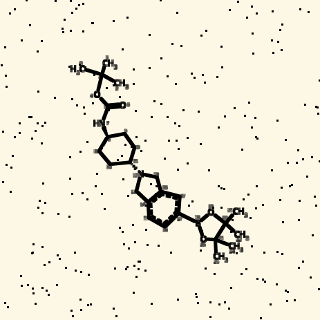 CC(C)(C)OC(=O)N[C@H]1CC[C@H](N2Cc3ccc(B4OC(C)(C)C(C)(C)O4)cc3C2)CC1